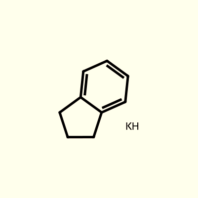 [KH].c1ccc2c(c1)CCC2